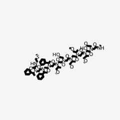 CNC(=O)CN(CC(=O)O)C(=O)CN(C(=O)CN(C(=O)CN(C(=O)CN(CC(=O)O)C(=O)CN(C(=O)CN(C(=O)CN(C(=O)CN(C(=O)CNCCSC)C(C)c1ccccc1)C(C)c1ccccc1)C(C)c1ccccc1)C(C)COC)C(C)COC)C(C)COC)C(C)COC